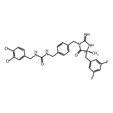 C[C@]1(Cc2cc(F)cc(F)c2)NC(=N)N(Cc2ccc(CNC(=O)NCc3ccc(Cl)c(Cl)c3)cc2)C1=O